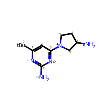 CC(C)(C)c1cc(N2CCC(N)C2)nc(N)n1